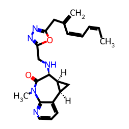 C=C(/C=C\C=C/C)Cc1nnc(CN[C@@H]2C(=O)N(C)c3ncccc3[C@@H]3C[C@H]23)o1